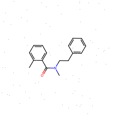 Cc1ccccc1C(=O)N(C)CCc1ccccc1